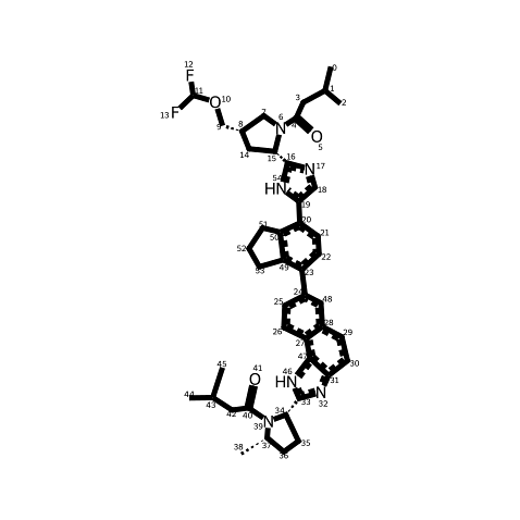 CC(C)CC(=O)N1C[C@@H](COC(F)F)C[C@H]1c1ncc(-c2ccc(-c3ccc4c(ccc5nc([C@@H]6CC[C@H](C)N6C(=O)CC(C)C)[nH]c54)c3)c3c2CCC3)[nH]1